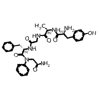 C[C@@H](NC(=O)[C@@H](N)Cc1ccc(O)cc1)C(=O)NCC(=O)N[C@@H](Cc1ccccc1)C(=O)N(CC(N)=O)c1ccccc1